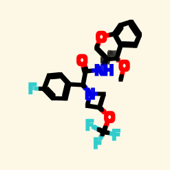 CO[C@H]1c2ccccc2OC[C@@H]1NC(=O)C(c1ccc(F)cc1)N1CC(OC(F)(F)F)C1